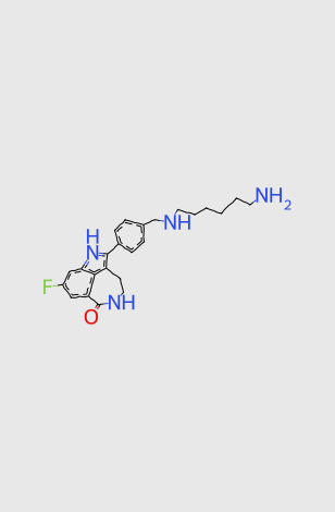 NCCCCCCNCc1ccc(-c2[nH]c3cc(F)cc4c3c2CCNC4=O)cc1